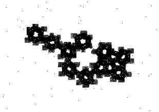 c1ccc(-c2nc(-c3ccc(-c4ccncc4)cc3)cc(-c3cccc(-c4cccc(-c5ccc6c(c5)-c5ccccc5C65c6ccccc6-c6ccccc65)c4)c3)n2)cc1